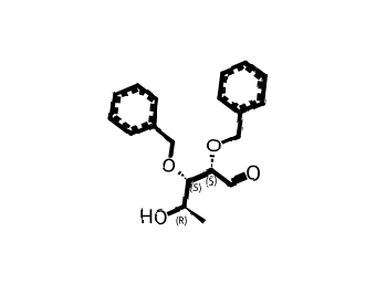 C[C@@H](O)[C@H](OCc1ccccc1)[C@@H](C=O)OCc1ccccc1